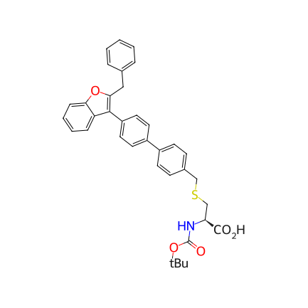 CC(C)(C)OC(=O)N[C@@H](CSCc1ccc(-c2ccc(-c3c(Cc4ccccc4)oc4ccccc34)cc2)cc1)C(=O)O